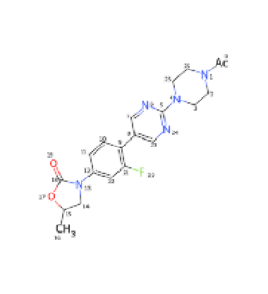 CC(=O)N1CCN(c2ncc(-c3ccc(N4CC(C)OC4=O)cc3F)cn2)CC1